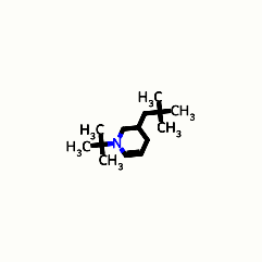 CC(C)(C)CC1CC=CN(C(C)(C)C)C1